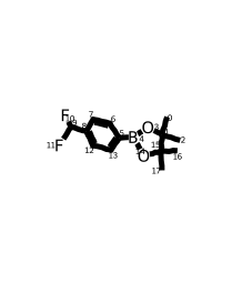 CC1(C)OB(c2ccc(C(F)F)cc2)OC1(C)C